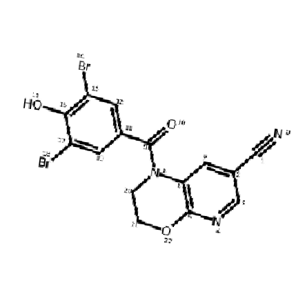 N#Cc1cnc2c(c1)N(C(=O)c1cc(Br)c(O)c(Br)c1)CCO2